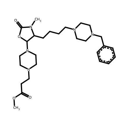 COC(=O)CCN1CCN(C2OC(=O)N(C)C2CCCCN2CCN(Cc3ccccc3)CC2)CC1